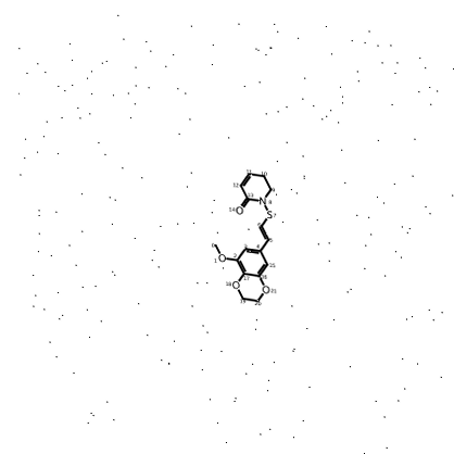 COc1cc(/C=C/SN2CCC=CC2=O)cc2c1OCCO2